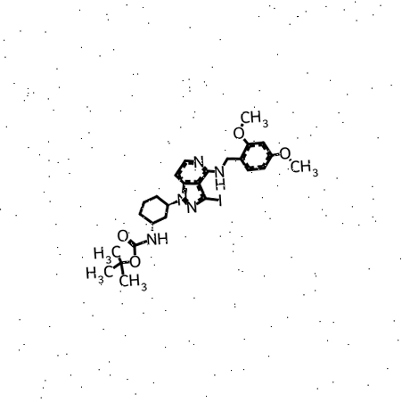 COc1ccc(CNc2nccc3c2c(I)nn3[C@@H]2CCC[C@@H](NC(=O)OC(C)(C)C)C2)c(OC)c1